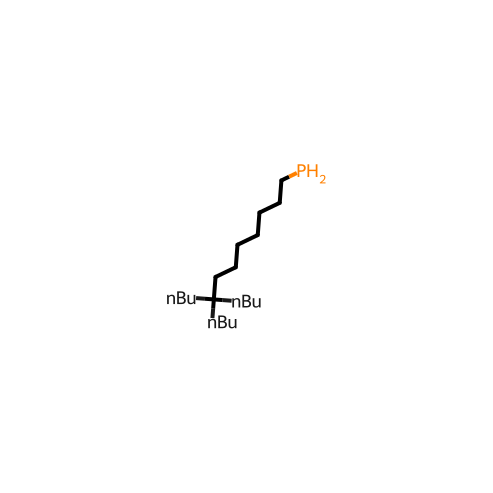 CCCCC(CCCC)(CCCC)CCCCCCCP